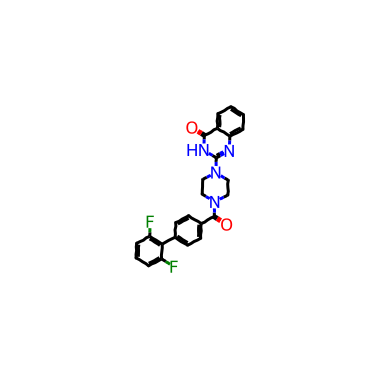 O=C(c1ccc(-c2c(F)cccc2F)cc1)N1CCN(c2nc3ccccc3c(=O)[nH]2)CC1